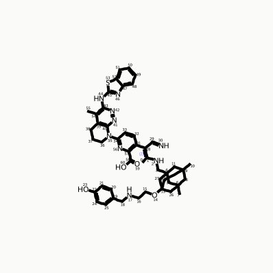 C/C(NCC12CC3(C)CC(C)(C1)CC(OCCNCc1ccc(O)cc1)(C3)C2)=C(/C=N)c1ccc(N2CCCc3c2nnc(Nc2nc4ccccc4s2)c3C)nc1C(=O)O